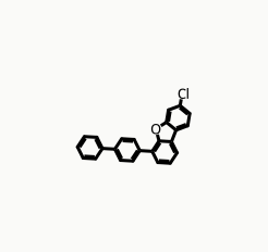 Clc1ccc2c(c1)oc1c(-c3ccc(-c4ccccc4)cc3)cccc12